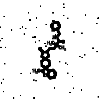 CN(C)C1(c2ccccc2)CCC2(CC1)CC(=O)N(CCC(C)(C)C(=O)NCc1ccncn1)C2